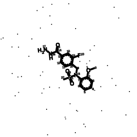 COc1ccccc1N(Cc1ccc(C(=O)NN)cc1F)S(C)(=O)=O